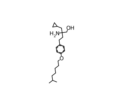 CC(C)CCCCCOc1ccc(CCC(N)(CO)CC2CC2)cc1